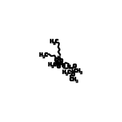 CCCCCC[C@@H](CCCCC)OP(=O)(N(C)C)N1CCN(C(=O)C(C)(C)OCC)CC1